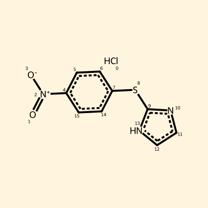 Cl.O=[N+]([O-])c1ccc(Sc2ncc[nH]2)cc1